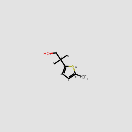 CC(C)(CO)c1ccc(C(F)(F)F)s1